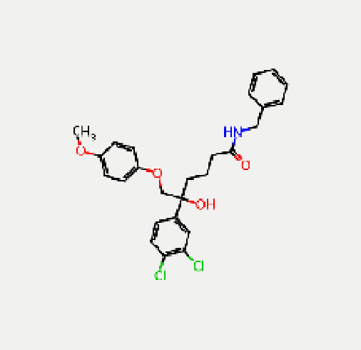 COc1ccc(OCC(O)(CCCC(=O)NCc2ccccc2)c2ccc(Cl)c(Cl)c2)cc1